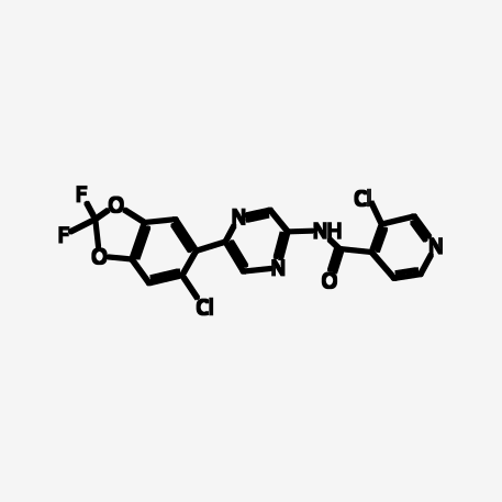 O=C(Nc1cnc(-c2cc3c(cc2Cl)OC(F)(F)O3)cn1)c1ccncc1Cl